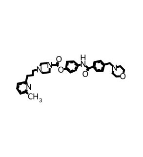 Cc1cccc(CCCN2CCN(C(=O)Oc3ccc(NC(=O)c4ccc(CN5CCOCC5)cc4)cc3)CC2)n1